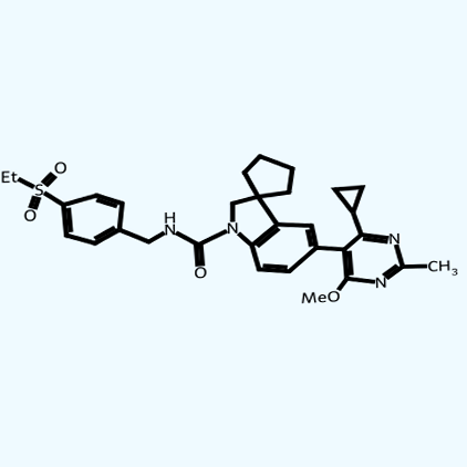 CCS(=O)(=O)c1ccc(CNC(=O)N2CC3(CCCC3)c3cc(-c4c(OC)nc(C)nc4C4CC4)ccc32)cc1